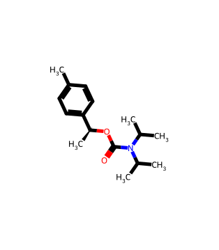 Cc1ccc([C@H](C)OC(=O)N(C(C)C)C(C)C)cc1